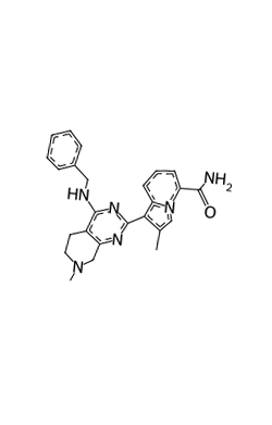 Cc1cn2c(C(N)=O)cccc2c1-c1nc2c(c(NCc3ccccc3)n1)CCN(C)C2